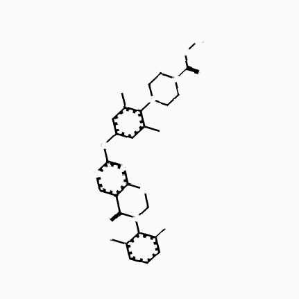 Cc1cc(Nc2ncc3c(n2)OCN(c2c(Cl)cccc2Cl)C3=O)cc(C)c1N1CCN(C(=O)OC(C)(C)C)CC1